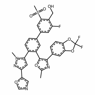 Cc1nc(-c2ccc3c(c2)OC(F)(F)O3)c(-c2cc(-c3cc(F)c(CO)c(S(C)(=O)=O)c3)ccc2-c2cc(-c3cnco3)nn2C)o1